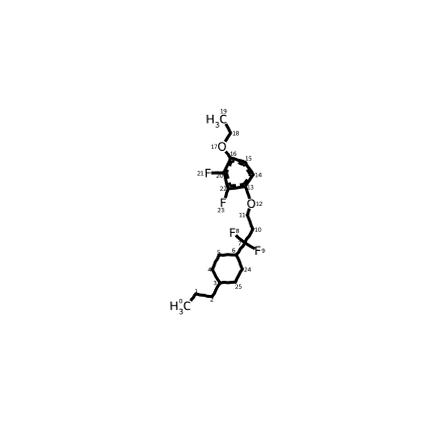 CCCC1CCC(C(F)(F)CCOc2ccc(OCC)c(F)c2F)CC1